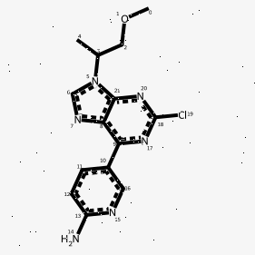 COCC(C)n1cnc2c(-c3ccc(N)nc3)nc(Cl)nc21